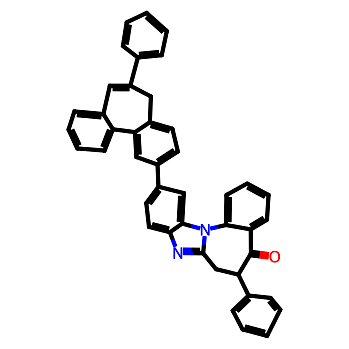 O=C1c2ccccc2-n2c(nc3ccc(-c4ccc5c(c4)-c4ccccc4C=C(c4ccccc4)C5)cc32)CC1c1ccccc1